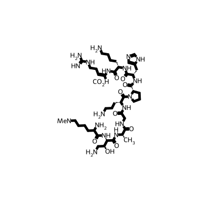 CNCCCCC(N)C(=O)N[C@H](C(=O)N[C@@H](C)C(=O)NCC(=O)N[C@H](CCCN)C(=O)N1CCC[C@H]1C(=O)N[C@@H](Cc1cnc[nH]1)C(=O)N[C@@H](CCCCN)C(=O)N/C(=C\CCNC(=N)N)C(=O)O)[C@@H](O)CN